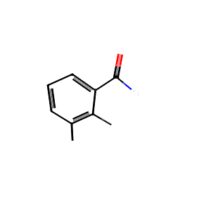 Cc1cccc(C(N)=O)c1C(=O)O